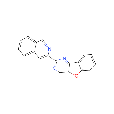 c1ccc2cc(-c3ncc4oc5ccccc5c4n3)ncc2c1